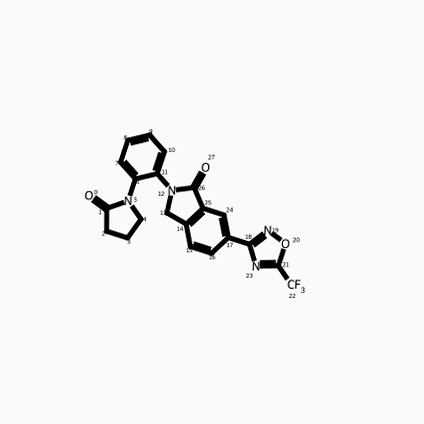 O=C1CCCN1c1ccccc1N1Cc2ccc(-c3noc(C(F)(F)F)n3)cc2C1=O